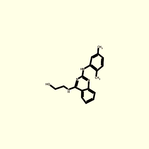 Cc1ccc(C)c(Nc2nc(NCCO)c3ccccc3n2)c1